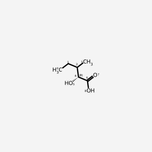 CCC(C)[C@@H](O)C(=O)O